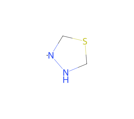 C1[N]NCS1